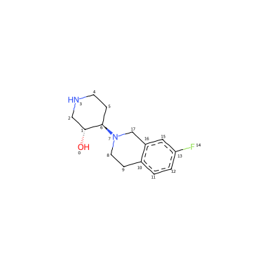 O[C@@H]1CNCC[C@H]1N1CCc2ccc(F)cc2C1